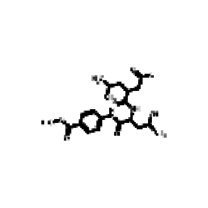 COC(=O)c1ccc(NC(=O)C(CC(C)C)NC(=O)C(CC(=O)O)CC(C)C)cc1